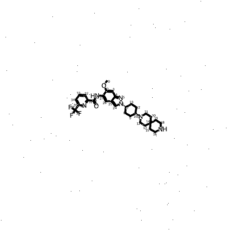 COc1cc2nn([C@H]3CC[C@H](N4CCC5(CCNCC5)CC4)CC3)cc2cc1NC(=O)c1cccc(C(F)(F)F)n1